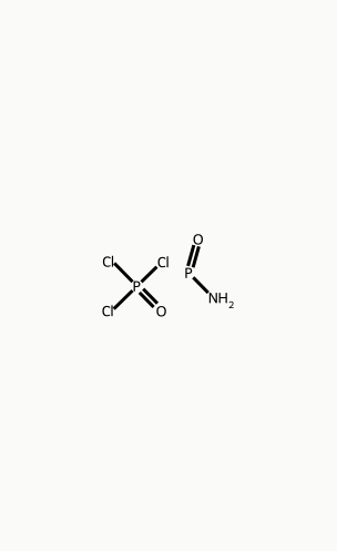 NP=O.O=P(Cl)(Cl)Cl